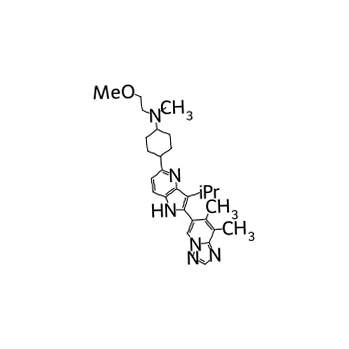 COCCN(C)C1CCC(c2ccc3[nH]c(-c4cn5ncnc5c(C)c4C)c(C(C)C)c3n2)CC1